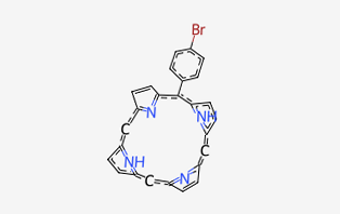 Brc1ccc(-c2c3nc(cc4ccc(cc5nc(cc6ccc2[nH]6)C=C5)[nH]4)C=C3)cc1